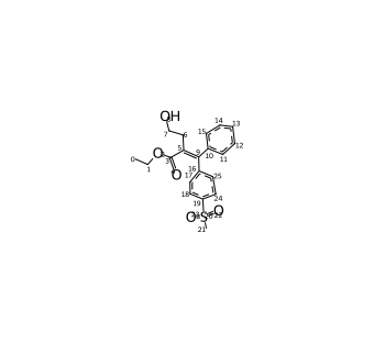 CCOC(=O)/C(CCO)=C(/c1ccccc1)c1ccc(S(C)(=O)=O)cc1